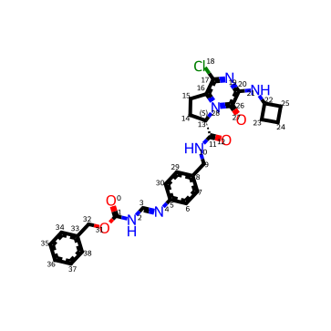 O=C(NC=Nc1ccc(CNC(=O)[C@@H]2CCc3c(Cl)nc(NC4CCC4)c(=O)n32)cc1)OCc1ccccc1